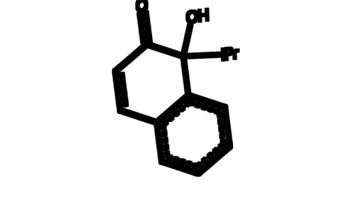 CC(C)C1(O)C(=O)C=Cc2ccccc21